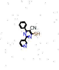 N#Cc1c(S)nc(-c2cccnc2)nc1-c1ccccc1